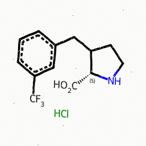 Cl.O=C(O)[C@H]1NCCC1Cc1cccc(C(F)(F)F)c1